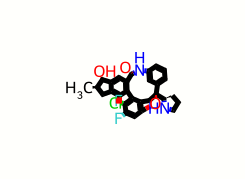 C[C@@H]1Cc2c(cc3c(c2F)-c2c(Cl)c(F)cc4c2C[C@]([C@@H]2CCCN2)(O4)c2cccc(c2)NC3=O)[C@@H]1O